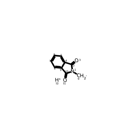 [CH2]N1C(=O)c2ccccc2C1=O.[H+]